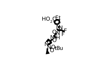 CCC1(C(=O)O)CCC(n2cc(NC(=O)c3coc(-c4ccnc(N(CC5CC5)C(=O)OC(C)(C)C)c4)n3)c(C(F)F)n2)CC1